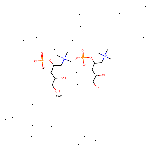 C[N+](C)(C)CC(CC(O)CO)OP(=O)([O-])[O-].C[N+](C)(C)CC(CC(O)CO)OP(=O)([O-])[O-].[Ca+2]